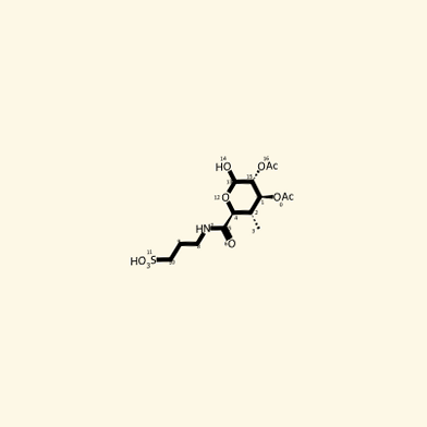 CC(=O)O[C@H]1[C@H](C)[C@@H](C(=O)NCCCS(=O)(=O)O)OC(O)[C@@H]1OC(C)=O